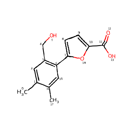 Cc1cc(CO)c(-c2ccc(C(=O)O)o2)cc1C